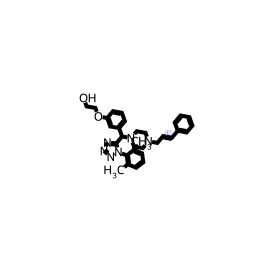 Cc1cccc(C)c1-n1nnnc1C(c1cccc(OCCO)c1)N1CCN(C/C=C/c2ccccc2)CC1